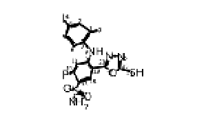 Cc1cc(I)ccc1Nc1cc(F)c(S(N)(=O)=O)cc1-c1nnc(S)o1